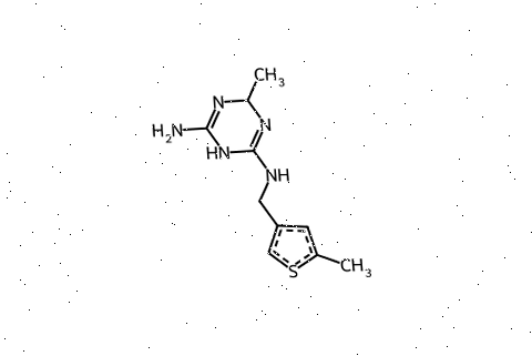 Cc1cc(CNC2=NC(C)N=C(N)N2)cs1